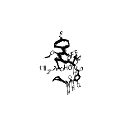 CCOc1c(CC(N)=O)cc([C@@](O)(CNC(=O)c2ccc(OC)c(NC(=O)NC3CC3)c2)C(F)(F)F)nc1-c1ccc(F)cc1